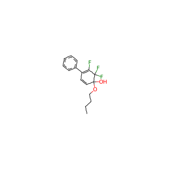 CCCCOC1(O)C=CC(c2ccccc2)=C(F)C1(F)F